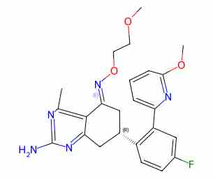 COCCO/N=C1\C[C@H](c2ccc(F)cc2-c2cccc(OC)n2)Cc2nc(N)nc(C)c21